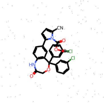 CC(C)(C)OC(=O)n1c(C#N)ccc1-c1ccc2c(c1)C(c1cccc(Cl)c1)(c1cccc(Cl)c1)OCC(=O)N2